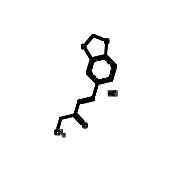 CCC(=O)C=Cc1ccc2c(c1)OCO2.Cl